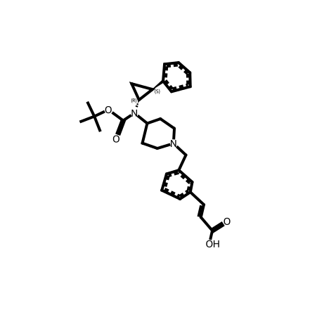 CC(C)(C)OC(=O)N(C1CCN(Cc2cccc(C=CC(=O)O)c2)CC1)[C@@H]1C[C@H]1c1ccccc1